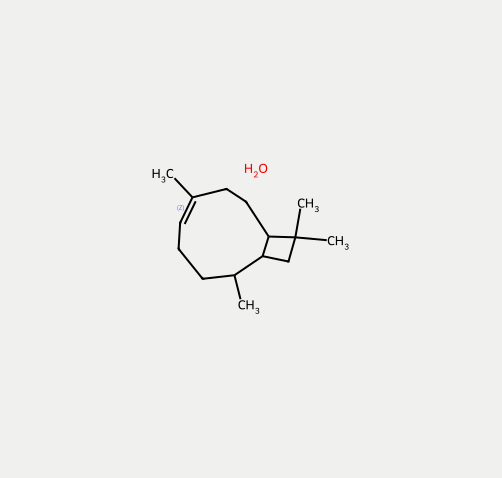 C/C1=C/CCC(C)C2CC(C)(C)C2CC1.O